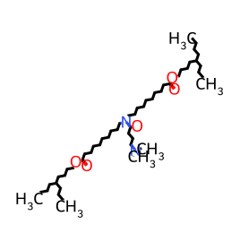 CCCCC(CCCC)CCCCOC(=O)CCCCCCCCCN(CCCCCCCCCC(=O)OCCCCC(CCCC)CCCC)C(=O)CCCN(C)C